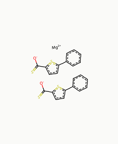 [Mg+2].[O-]C(=S)c1ccc(-c2ccccc2)s1.[O-]C(=S)c1ccc(-c2ccccc2)s1